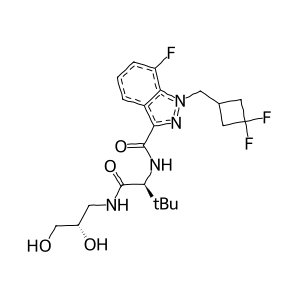 CC(C)(C)[C@H](NC(=O)c1nn(CC2CC(F)(F)C2)c2c(F)cccc12)C(=O)NC[C@H](O)CO